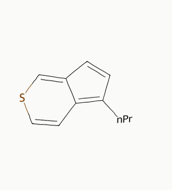 [CH2]CCc1ccc2csccc1-2